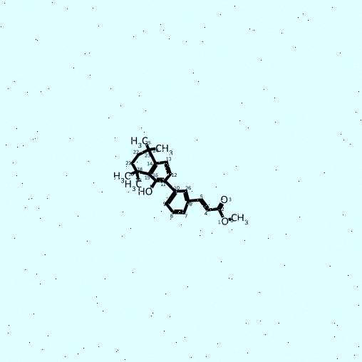 COC(=O)C=Cc1cccc(-c2ccc3c(c2O)C(C)(C)CCC3(C)C)c1